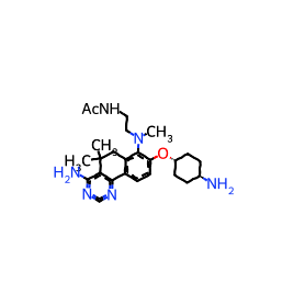 CC(=O)NCCN(C)c1c(O[C@H]2CC[C@H](N)CC2)ccc2c1CC(C)(C)c1c(N)ncnc1-2